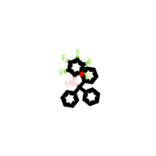 Fc1c(F)c(F)c(BC(c2ccccc2)(c2ccccc2)c2ccccc2)c(F)c1F